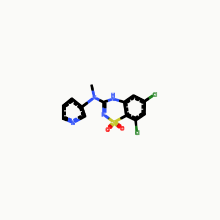 CN(C1=NS(=O)(=O)c2c(Cl)cc(Cl)cc2N1)c1cccnc1